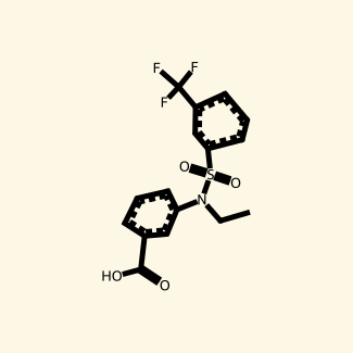 CCN(c1cccc(C(=O)O)c1)S(=O)(=O)c1cccc(C(F)(F)F)c1